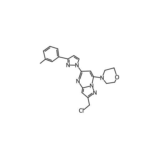 Cc1cccc(-c2ccn(-c3cc(N4CCOCC4)n4nc(CCl)cc4n3)n2)c1